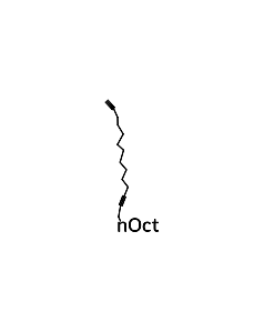 C#CCCCCCCCCCC#CCCCCCCCCC